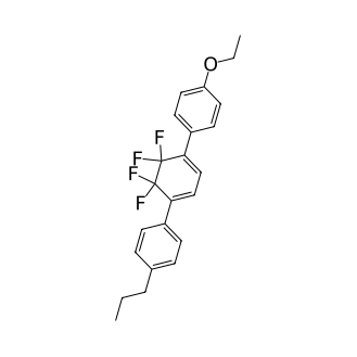 CCCc1ccc(C2=CC=C(c3ccc(OCC)cc3)C(F)(F)C2(F)F)cc1